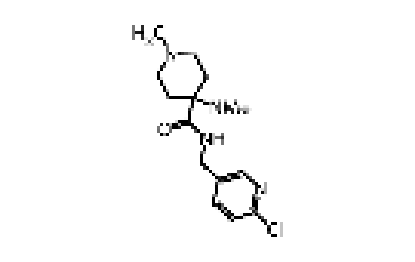 CNC1(C(=O)NCc2ccc(Cl)nc2)CCN(C)CC1